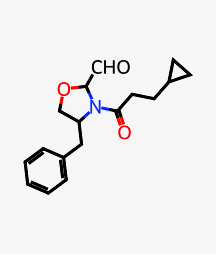 O=CC1OCC(Cc2ccccc2)N1C(=O)CCC1CC1